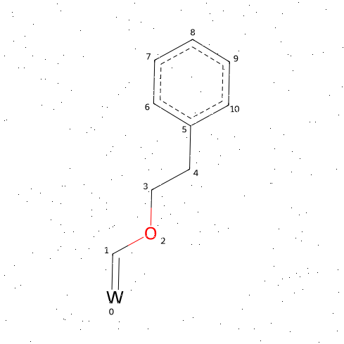 [W]=[CH]OCCc1ccccc1